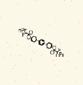 CCC[C@H](F)C(=O)O[C@H]1CC[C@H](c2ccc([C@H]3CC[C@H](OC(=O)[C@@H](F)CCC)CC3)cc2)CC1